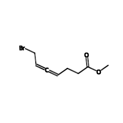 COC(=O)CCC=C=CCBr